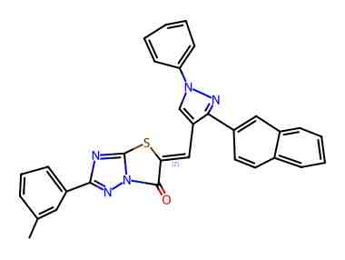 Cc1cccc(-c2nc3s/c(=C\c4cn(-c5ccccc5)nc4-c4ccc5ccccc5c4)c(=O)n3n2)c1